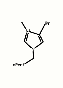 CCCCCCn1cc(C(C)C)[n+](C)c1